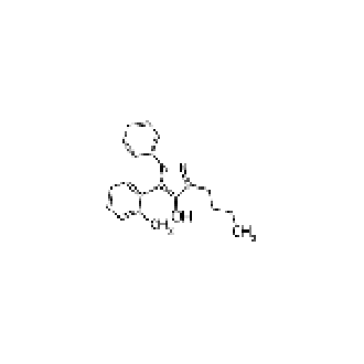 CCCCc1nn(-c2ccccc2)c(-c2ccccc2C)c1O